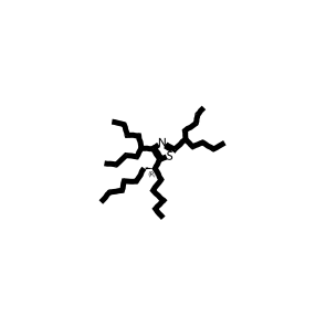 CCCCCC[C@@H](CCCCC)c1sc(C(CCCC)CCCC)nc1C(CCCC)CCCC